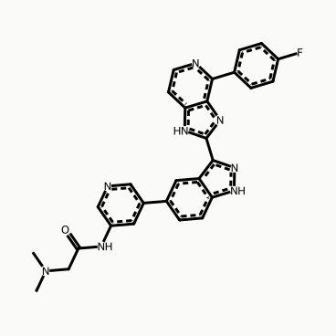 CN(C)CC(=O)Nc1cncc(-c2ccc3[nH]nc(-c4nc5c(-c6ccc(F)cc6)nccc5[nH]4)c3c2)c1